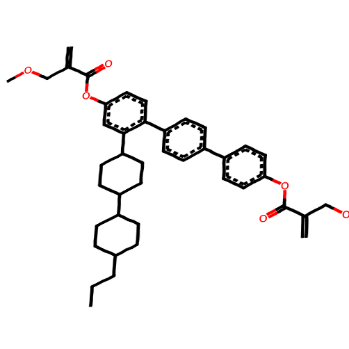 C=C(COC)C(=O)Oc1ccc(-c2ccc(-c3ccc(OC(=O)C(=C)COC)cc3C3CCC(C4CCC(CCC)CC4)CC3)cc2)cc1